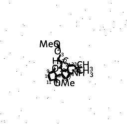 COCOC/C=C/C1Oc2cccc(OC)c2-c2ccc3c(c21)C(C)=CC(C)(C)N3